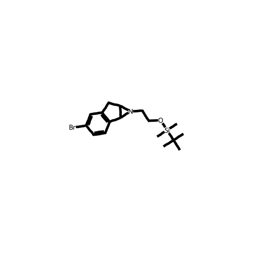 CC(C)(C)[Si](C)(C)OCCN1C2Cc3cc(Br)ccc3C21